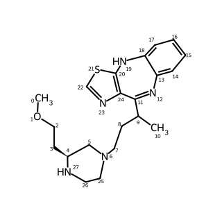 COCC[C@H]1CN(CCC(C)C2=Nc3ccccc3Nc3scnc32)CCN1